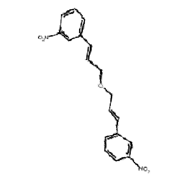 O=[N+]([O-])c1cccc(C=CCOCC=Cc2cccc([N+](=O)[O-])c2)c1